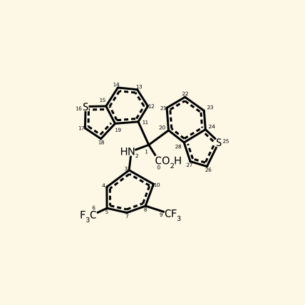 O=C(O)C(Nc1cc(C(F)(F)F)cc(C(F)(F)F)c1)(c1cccc2sccc12)c1cccc2sccc12